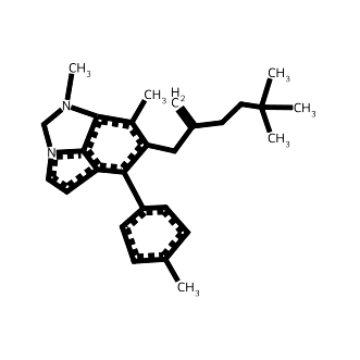 C=C(CCC(C)(C)C)Cc1c(C)c2c3c(ccn3CN2C)c1-c1ccc(C)cc1